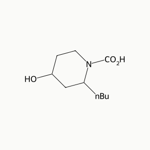 CCCCC1CC(O)CCN1C(=O)O